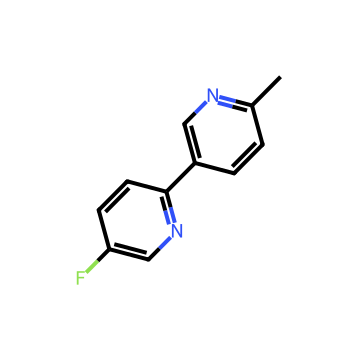 Cc1ccc(-c2ccc(F)cn2)cn1